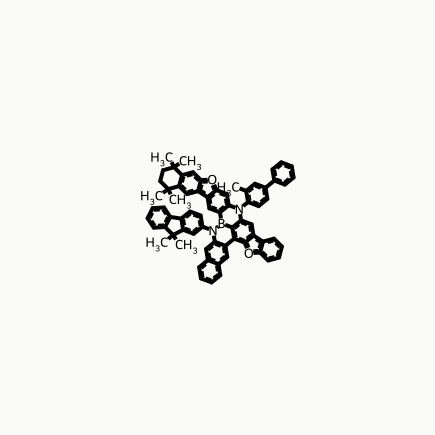 Cc1cc(-c2ccccc2)ccc1N1c2cc3oc4cc5c(cc4c3cc2B2c3c1cc1c(oc4ccccc41)c3-c1cc3ccccc3cc1N2c1ccc2c(c1)C(C)(C)c1ccccc1-2)C(C)(C)CCC5(C)C